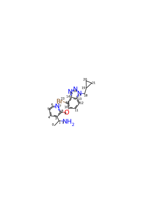 CC(N)c1cccnc1Oc1ccc2c(nnn2CC2CC2)c1Br